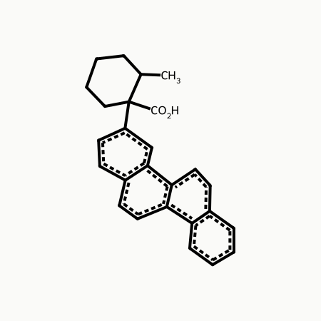 CC1CCCCC1(C(=O)O)c1ccc2ccc3c4ccccc4ccc3c2c1